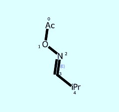 CC(=O)O/N=C/C(C)C